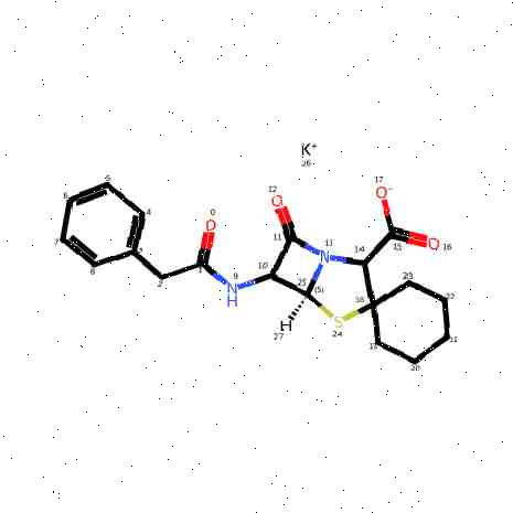 O=C(Cc1ccccc1)NC1C(=O)N2C(C(=O)[O-])C3(CCCCC3)S[C@@H]12.[K+]